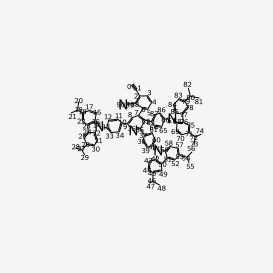 C#Cc1cccc(-c2cc(-c3ccc(-n4c5ccc(C(C)C)cc5c5cc(C(C)C)ccc54)cc3)nc(-c3ccc(-n4c5ccc(C(C)C)cc5c5cc(C(C)C)ccc54)cc3)c2-c2ccc(-n3c4ccc(C(C)C)cc4c4cc(C(C)C)ccc43)cc2)c1C#N